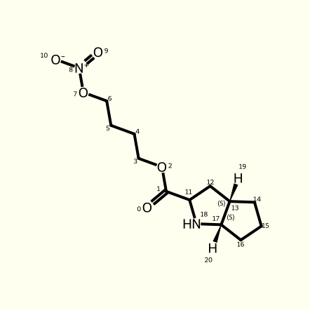 O=C(OCCCCO[N+](=O)[O-])C1C[C@@H]2CCC[C@@H]2N1